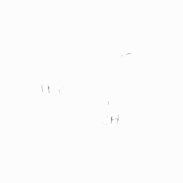 CCC[CH](C)[In][CH]1C=CC=C1